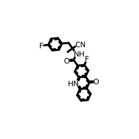 CC(C#N)(Cc1ccc(F)cc1)NC(=O)c1cc2[nH]c3ccccc3c(=O)c2cc1F